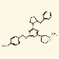 COc1ccc(COc2cc(N3CCO[C@@H](C)C3)nc(N3CCCC3Cc3ccccc3)n2)cc1